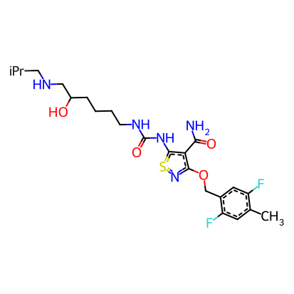 Cc1cc(F)c(COc2nsc(NC(=O)NCCCCC(O)CNCC(C)C)c2C(N)=O)cc1F